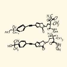 CC(C)(CO)c1ccc(C#Cc2cc3n(c2)C(=O)N(CC[C@](C)(C(=O)NO)S(C)(=O)=O)C3)cc1.CC(C)(O)c1ccc(C#Cc2cc3n(c2)C(=O)N(CC[C@](C)(C(=O)NO)S(C)(=O)=O)C3)cc1